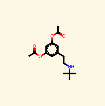 CC(=O)Oc1cc([CH]CNC(C)(C)C)cc(OC(C)=O)c1